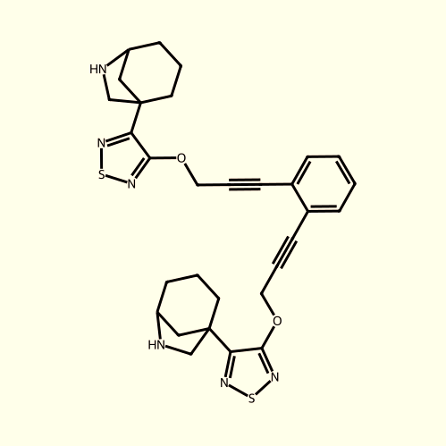 C(#Cc1ccccc1C#CCOc1nsnc1C12CCCC(C1)NC2)COc1nsnc1C12CCCC(C1)NC2